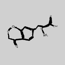 N[C@@H](Cc1ccc2c(c1)OOCC2=O)C(=O)O